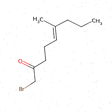 CCCC(C)=CCCC(=O)CBr